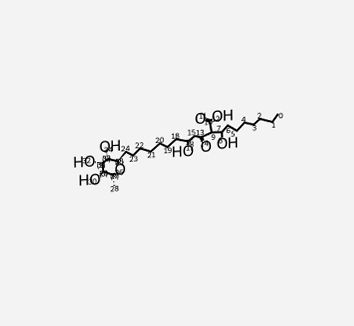 CCCCCCCC(O)C(C(=O)O)C(=O)CC(O)CCCCCCC[C@H]1O[C@H](C)[C@@H](O)[C@H](O)[C@@H]1O